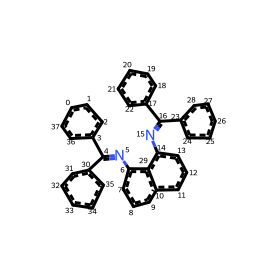 c1ccc(C(=Nc2cccc3cccc(N=C(c4ccccc4)c4ccccc4)c23)c2ccccc2)cc1